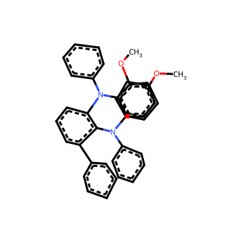 COc1cccc(N(c2ccccc2)c2cccc(-c3ccccc3)c2N(c2ccccc2)c2cccc(OC)c2)c1